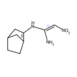 N/C(=C\[N+](=O)[O-])NC1=C2CCC(C2)C1